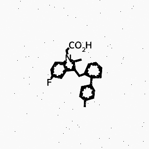 Cc1ccc(-c2ccccc2Cc2c(C)n(CC(=O)O)c3ccc(F)cc23)cc1